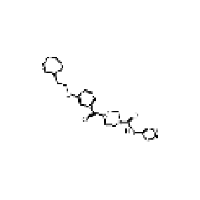 O=C(Nc1cocn1)N1CCN(C(=O)c2cccc(OCCC3CCCCC3)c2)CC1